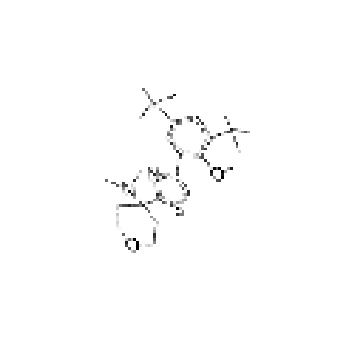 COc1c(-c2csc(C3(N(C)C)CCOCC3)n2)cc(C(C)(C)C)cc1C(C)(C)C